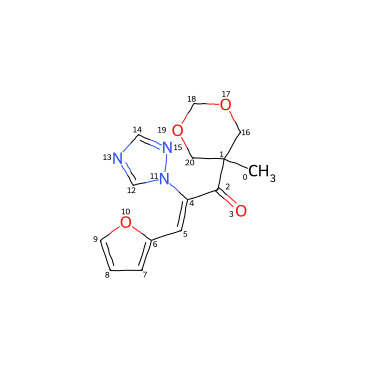 CC1(C(=O)C(=Cc2ccco2)n2cncn2)COCOC1